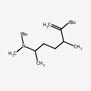 C=C(C(C)CCC(C)N(C)C(C)(C)C)C(C)(C)C